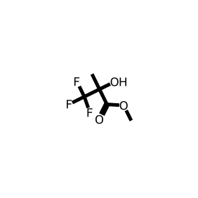 COC(=O)C(C)(O)C(F)(F)F